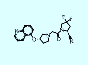 N#C[C@@H]1CC(F)(F)CN1C(=O)CN1CC[C@H](Oc2cccc3ncccc23)C1